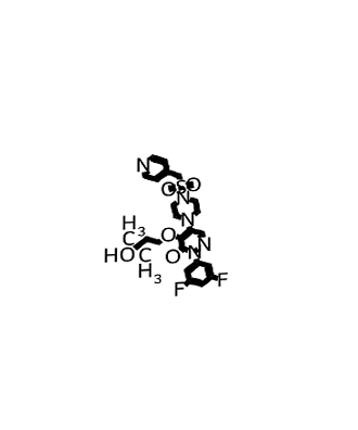 CC(C)(O)CCOc1c(N2CCN(S(=O)(=O)Cc3ccncc3)CC2)cnn(-c2cc(F)cc(F)c2)c1=O